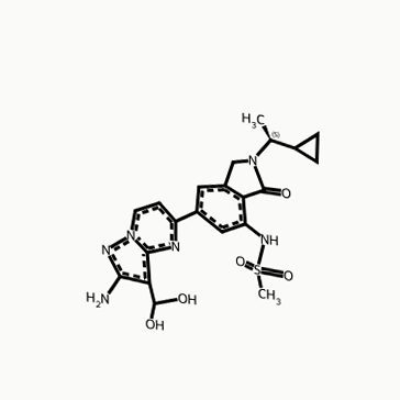 C[C@@H](C1CC1)N1Cc2cc(-c3ccn4nc(N)c(C(O)O)c4n3)cc(NS(C)(=O)=O)c2C1=O